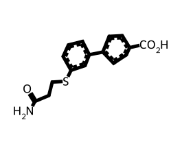 NC(=O)CCSc1cccc(-c2ccc(C(=O)O)cc2)c1